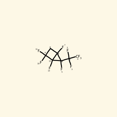 FC(F)(F)C(F)(F)C1(F)C2(F)CC(F)(F)C21F